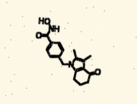 Cc1c2c(n(Cc3ccc(C(=O)NO)cc3)c1C)CCCC2=O